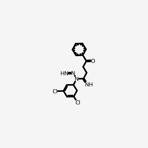 N=NN(C(=N)CCC(=O)c1ccccc1)C1C=C(Cl)C=C(Cl)C1